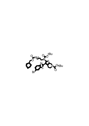 CC(C)(C)OC(=O)N1CCc2c(sc(N(CCCNC(=O)OCc3ccccc3)C(=O)OC(C)(C)C)c2-c2nc3ccc(Br)cc3s2)C1